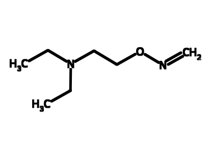 C=NOCCN(CC)CC